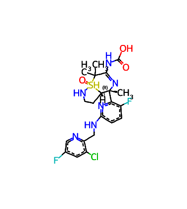 CC1(C)C(NC(=O)O)=N[C@](C)(c2nc(NCc3ncc(F)cc3Cl)ccc2F)[C@@H]2CCN[SH]21=O